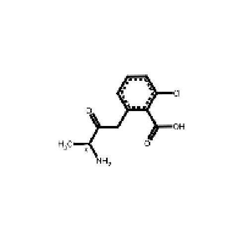 C[C@H](N)C(=O)Cc1cccc(Cl)c1C(=O)O